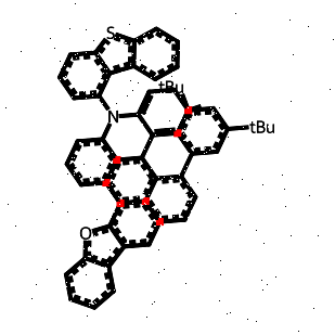 CC1C=C(c2cccc3cccc(-c4cc(C(C)(C)C)cc(C(C)(C)C)c4)c23)C(N(c2cccc(-c3cccc4c3oc3ccccc34)c2)c2cccc3sc4ccccc4c23)=CC1